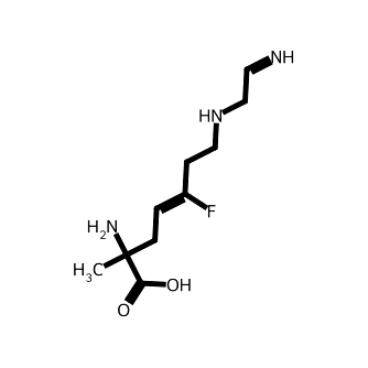 CC(N)(CC=C(F)CCNCC=N)C(=O)O